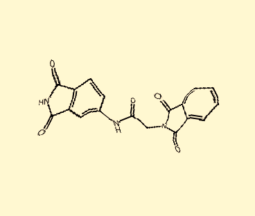 O=C(CN1C(=O)c2ccccc2C1=O)Nc1ccc2c(c1)C(=O)NC2=O